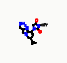 CCCN1C(=O)CN(c2cc(C3CC3)cn3cc(CN)nc23)C1=O